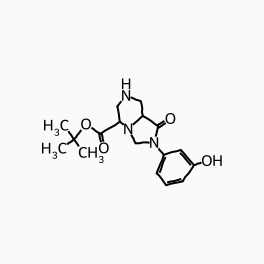 CC(C)(C)OC(=O)C1CNCC2C(=O)N(c3cccc(O)c3)CN12